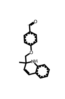 CC1(COc2ccc([C]=O)cc2)C=Cc2ccccc2N1